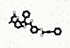 Cc1cc(=O)oc2c1ccc1oc(C(=O)c3cccc(OC(=O)C#Cc4ccccc4)c3)c(-c3ccccc3)c12